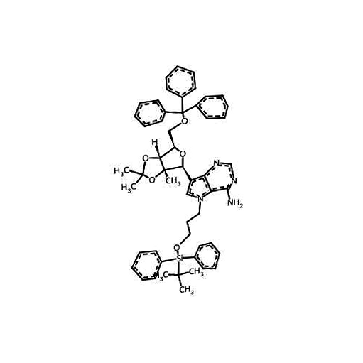 CC1(C)O[C@@H]2[C@@H](COC(c3ccccc3)(c3ccccc3)c3ccccc3)O[C@@H](c3cn(CCCO[Si](c4ccccc4)(c4ccccc4)C(C)(C)C)c4c(N)ncnc34)[C@]2(C)O1